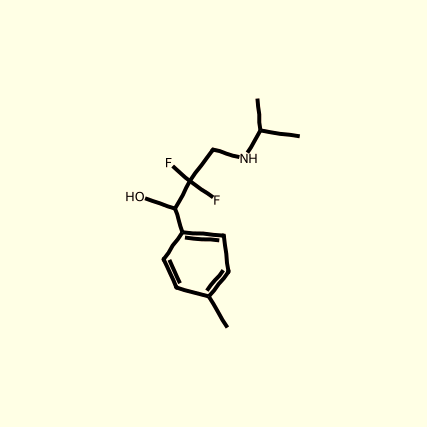 Cc1ccc(C(O)C(F)(F)CNC(C)C)cc1